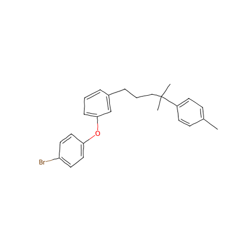 Cc1ccc(C(C)(C)CCCc2cccc(Oc3ccc(Br)cc3)c2)cc1